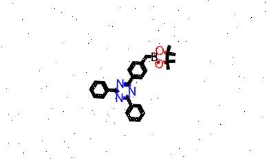 CC1(C)OB(Cc2ccc(-c3nc(-c4ccccc4)nc(-c4ccccc4)n3)cc2)OC1(C)C